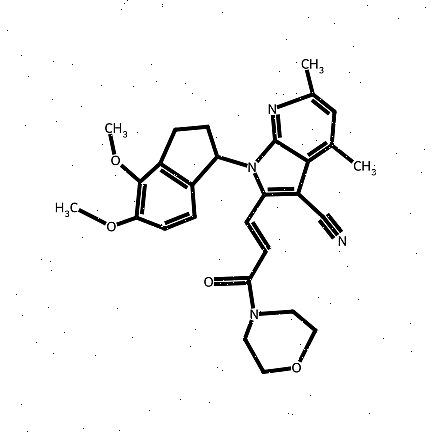 COc1ccc2c(c1OC)CCC2n1c(/C=C/C(=O)N2CCOCC2)c(C#N)c2c(C)cc(C)nc21